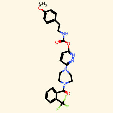 COc1ccc(CCNC(=O)Oc2ccc(N3CCN(C(=O)c4ccccc4C(F)(F)F)CC3)nn2)cc1